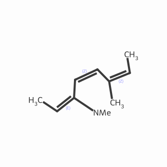 C\C=C(C)/C=C\C(=C/C)NC